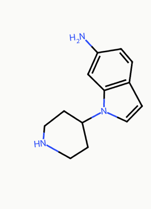 Nc1ccc2ccn(C3CCNCC3)c2c1